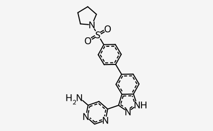 Nc1cc(-c2n[nH]c3ccc(-c4ccc(S(=O)(=O)N5CCCC5)cc4)cc23)ncn1